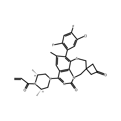 C=CC(=O)N1[C@H](C)CN(c2nc(=O)n3c4c(c(-c5cc(Cl)c(F)cc5F)c(C)cc24)SCC2(CC(=O)C2)C3)C[C@@H]1C